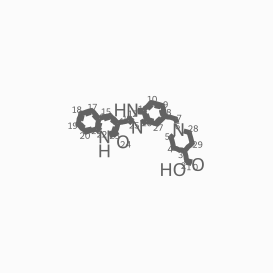 O=C(O)C1CCN(Cc2ccc3[nH]c(-c4cc5ccccc5[nH]c4=O)nc3c2)CC1